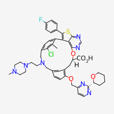 Cc1c2ccc(c1Cl)CN(CCN1CCN(C)CC1)Cc1ccc(OCc3ccnc([C@H]4CCCCO4)n3)c(c1)C[C@H](C(=O)O)Oc1ncnc3sc(-c4ccc(F)cc4)c-2c13